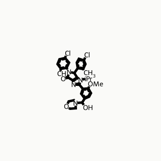 COc1ccc(C(O)N2CCOCC2)cc1-c1nc2c(n1C(C)C)C(c1ccc(Cl)cc1C)N(c1cc(Cl)ccc1C)C2=O